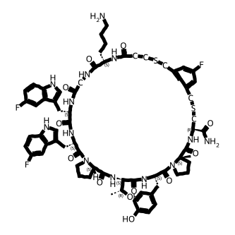 C[C@@H](O)[C@@H]1NC(=O)[C@@H]2CCCN2C(=O)[C@H](Cc2c[nH]c3ccc(F)cc23)NC(=O)[C@H](Cc2c[nH]c3ccc(F)cc23)NC(=O)CNC(=O)[C@H](CCCCN)NC(=O)CCSCc2cc(F)cc(c2)CSC[C@@H](C(N)=O)NC(=O)[C@]2(C)CCCN2C(=O)[C@H](Cc2ccc(O)cc2)NC1=O